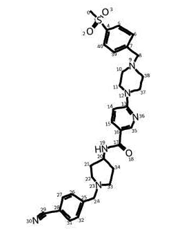 CS(=O)(=O)c1ccc(CN2CCN(c3ccc(C(=O)NC4CCN(Cc5ccc(C#N)cc5)CC4)cn3)CC2)cc1